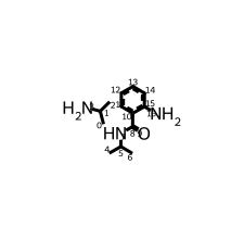 CC(C)N.CC(C)NC(=O)c1ccccc1N